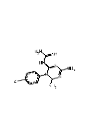 N=C(N)NC1=NC(N)=NC(N)N1c1ccc(Cl)cc1